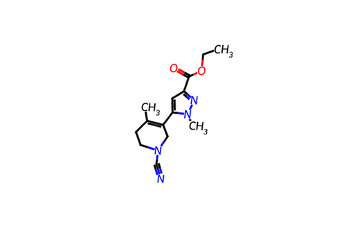 CCOC(=O)c1cc(C2=C(C)CCN(C#N)C2)n(C)n1